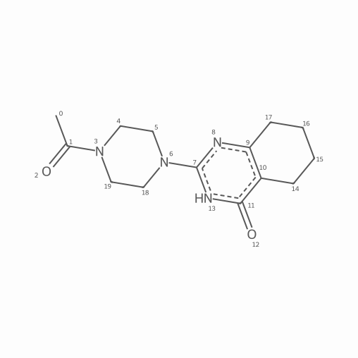 CC(=O)N1CCN(c2nc3c(c(=O)[nH]2)CCCC3)CC1